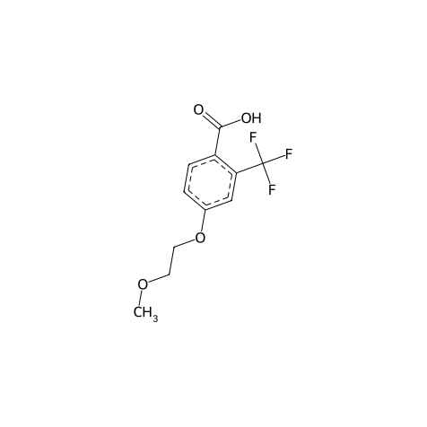 COCCOc1ccc(C(=O)O)c(C(F)(F)F)c1